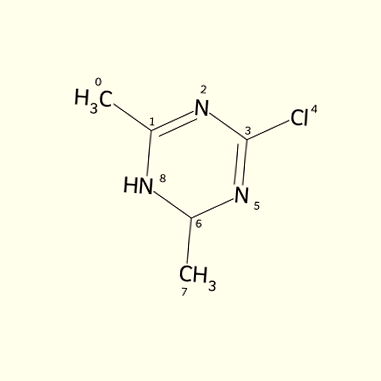 CC1=NC(Cl)=NC(C)N1